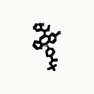 COC(C1=Cc2cccnc2[C@@H](C2CCN(C(=O)OC(C)(C)C)CC2)c2ccc(Cl)cc21)c1cnc[nH]1